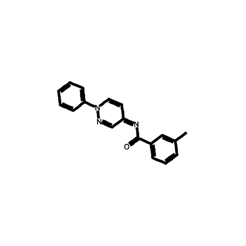 Cc1cccc(C(=O)N=c2ccn(-c3ccccc3)nc2)c1